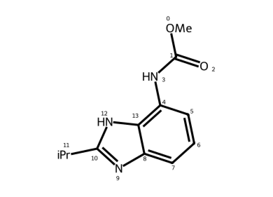 COC(=O)Nc1cccc2nc(C(C)C)[nH]c12